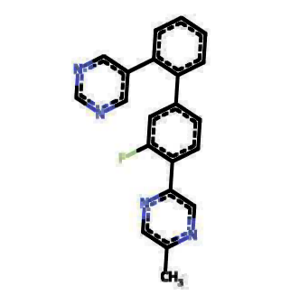 Cc1cnc(-c2ccc(-c3ccccc3-c3cncnc3)cc2F)cn1